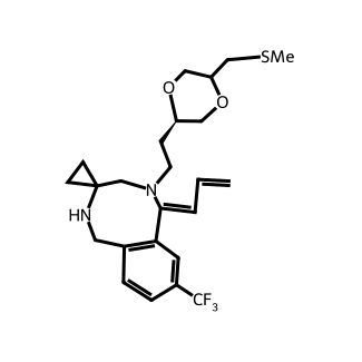 C=C/C=C1/c2cc(C(F)(F)F)ccc2CNC2(CC2)CN1CC[C@@H]1COC(CSC)CO1